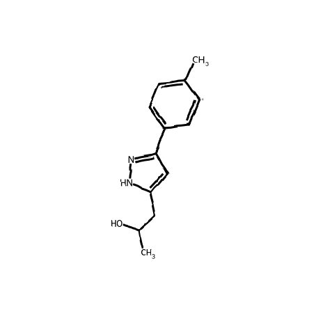 Cc1[c]cc(-c2cc(CC(C)O)[nH]n2)cc1